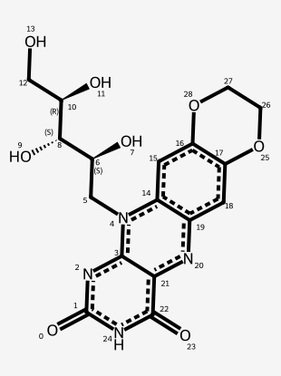 O=c1nc2n(C[C@H](O)[C@H](O)[C@H](O)CO)c3cc4c(cc3nc-2c(=O)[nH]1)OCCO4